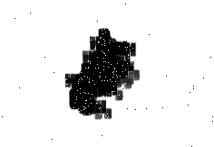 COc1c(C)cc2c(c1O)[C@@H]1[C@@H]3[C@@H]4SC[C@]5(N[C@@H](CO)Cc6c5oc5cccc(C7Oc8c(C)c(OC(C)=O)c9c(c8O7)[C@@H]7COC(=O)[C@]8(CS[C@H]9[C@H]9[C@H]%10c%11c(cc(C)c(OC)c%11O)C%11(C)[C@@H]([C@H](O)N97)N%10%11)N[C@@H](CO)Cc7c8[nH]c8ccccc78)c65)C(=O)OC[C@@H](c5c6c(c(C)c(OC(C)=O)c54)OCO6)N3[C@@H](O)[C@H]3N1C23C